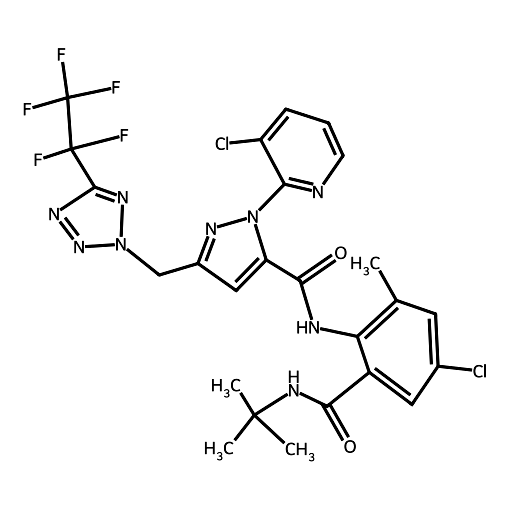 Cc1cc(Cl)cc(C(=O)NC(C)(C)C)c1NC(=O)c1cc(Cn2nnc(C(F)(F)C(F)(F)F)n2)nn1-c1ncccc1Cl